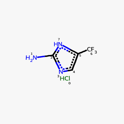 Cl.Nc1ncc(C(F)(F)F)[nH]1